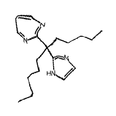 CCCCCC(CCCCC)(c1ncccn1)c1ncc[nH]1